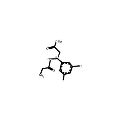 COC(=O)C[C@H](NC(=O)CN)c1cc(Cl)cc(I)c1